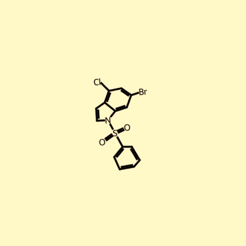 O=S(=O)(c1ccccc1)n1ccc2c(Cl)cc(Br)cc21